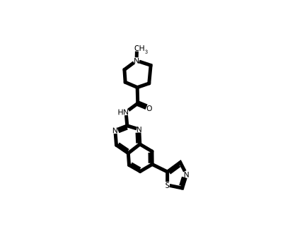 CN1CCC(C(=O)Nc2ncc3ccc(-c4cncs4)cc3n2)CC1